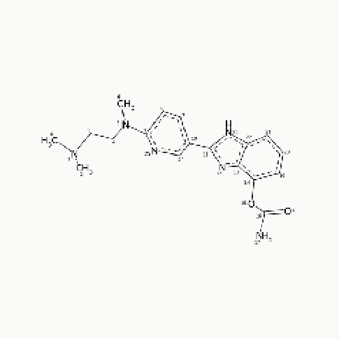 CN(C)CCN(C)c1ccc(-c2nc3c(OC(N)=O)cccc3[nH]2)cn1